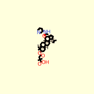 C=C(C)[C@@H]1CC[C@]2(CC(=O)Nc3cccnc3)CC[C@]3(C)[C@H](CC[C@@H]4[C@@]5(C)CC[C@H](OC(=O)CC(C)(C)C(=O)O)C(C)(C)[C@@H]5CC[C@]43C)[C@@H]12